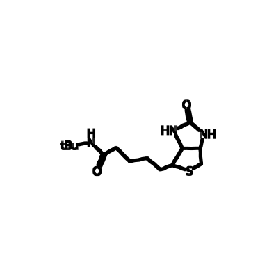 CC(C)(C)NC(=O)CCCCC1SCC2NC(=O)NC21